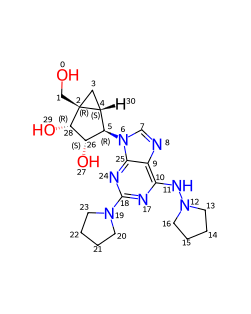 OC[C@@]12C[C@@H]1[C@@H](n1cnc3c(NN4CCCC4)nc(N4CCCC4)nc31)[C@H](O)[C@@H]2O